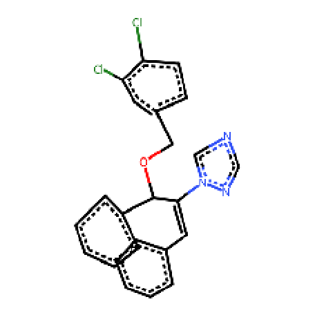 Clc1ccc(COC(/C(=C\c2ccccc2)n2cncn2)c2ccccc2)cc1Cl